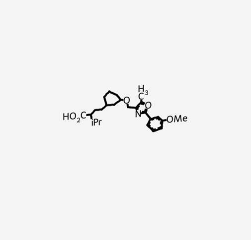 COc1cccc(-c2nc(COC3CCCC(CCC(C(=O)O)C(C)C)C3)c(C)o2)c1